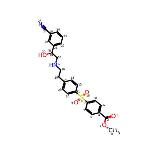 COC(=O)c1ccc(S(=O)(=O)c2ccc(CCNC[C@@H](O)c3cccc(C#N)c3)cc2)cc1